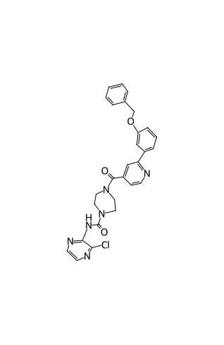 O=C(Nc1nccnc1Cl)N1CCN(C(=O)c2ccnc(-c3cccc(OCc4ccccc4)c3)c2)CC1